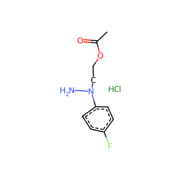 CC(=O)OCCN(N)c1ccc(F)cc1.Cl